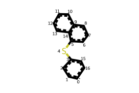 [c]1ccc(Sc2cccc3ccccc23)cc1